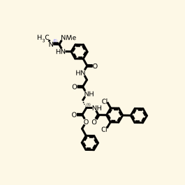 C/N=C(\NC)Nc1cccc(C(=O)NCC(=O)NC[C@H](NC(=O)c2c(Cl)cc(-c3ccccc3)cc2Cl)C(=O)OCc2ccccc2)c1